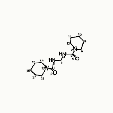 O=C(NCNC(=O)N1CCCCC1)N1CCCCC1